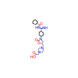 N=C(NC(=O)c1ccccc1)c1ccc(N2CC(CN3CCN(CC(=O)O)CC3)OC2=O)cc1